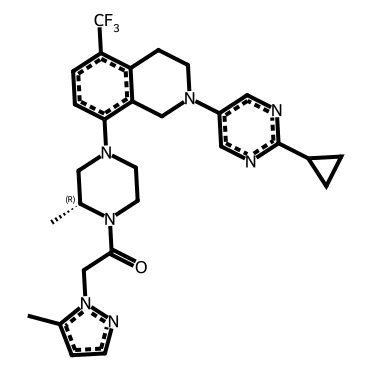 Cc1ccnn1CC(=O)N1CCN(c2ccc(C(F)(F)F)c3c2CN(c2cnc(C4CC4)nc2)CC3)C[C@H]1C